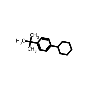 CC(C)(C)c1ccc(C2CCCCC2)cc1